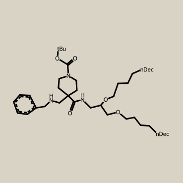 CCCCCCCCCCCCCCOCC(CNC(=O)C1(CNCc2ccccc2)CCN(C(=O)OC(C)(C)C)CC1)OCCCCCCCCCCCCCC